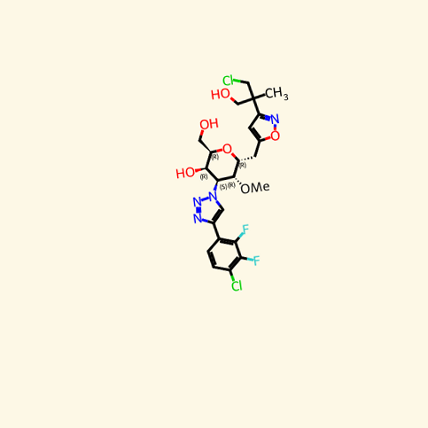 CO[C@@H]1[C@@H](n2cc(-c3ccc(Cl)c(F)c3F)nn2)[C@@H](O)[C@@H](CO)O[C@@H]1Cc1cc(C(C)(CO)CCl)no1